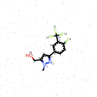 Cn1nc(-c2ccc(F)c(C(F)(F)F)c2)cc1CO